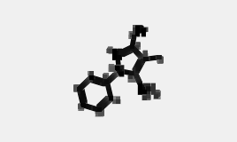 Cc1c(C(C)C)nn(-c2ccccc2)c1N